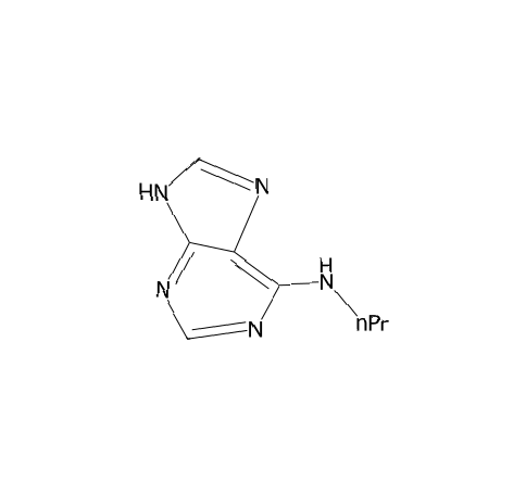 CCCNc1ncnc2[nH]cnc12